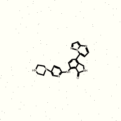 O=C1NCc2c(-c3ccnc4ccnn34)ccc(Nc3ccc(N4CCNCC4)cn3)c21